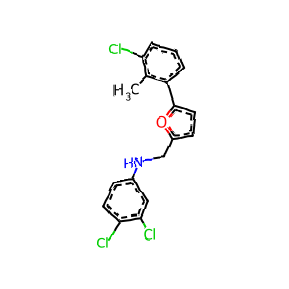 Cc1c(Cl)cccc1-c1ccc(CNc2ccc(Cl)c(Cl)c2)o1